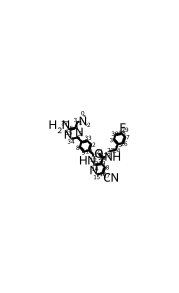 CN(C)Cc1nc(-c2ccc(CNc3ncc(C#N)cc3C(=O)NCCc3ccc(F)cc3)cc2)cnc1N